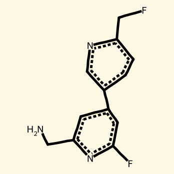 NCc1cc(-c2ccc(CF)nc2)cc(F)n1